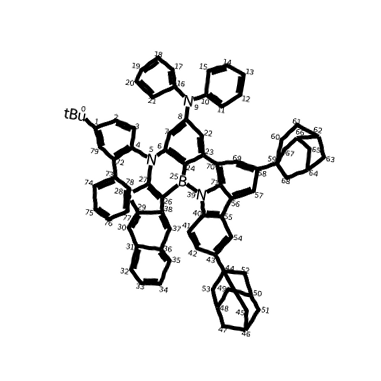 CC(C)(C)c1ccc(N2c3cc(N(c4ccccc4)c4ccccc4)cc4c3B(c3c2sc2cc5ccccc5cc32)n2c3ccc(C56CC7CC(CC(C7)C5)C6)cc3c3cc(C56CCC7CC(CC7C5)C6)cc-4c32)c(-c2ccccc2)c1